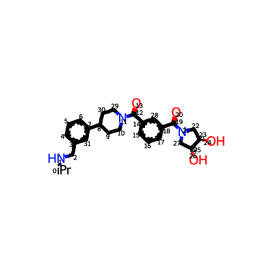 CC(C)NCc1cccc(C2CCN(C(=O)c3cccc(C(=O)N4C[C@@H](O)[C@@H](O)C4)c3)CC2)c1